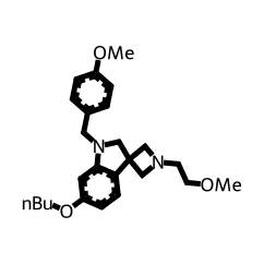 CCCCOc1ccc2c(c1)N(Cc1ccc(OC)cc1)CC21CN(CCOC)C1